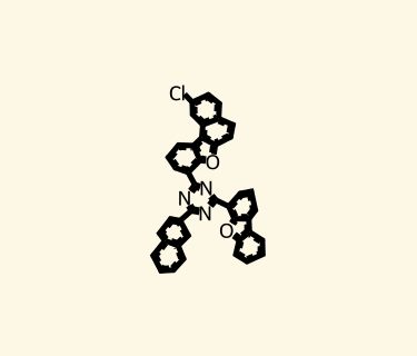 Clc1ccc2ccc3oc4c(-c5nc(-c6ccc7ccccc7c6)nc(-c6cccc7c6oc6ccccc67)n5)cccc4c3c2c1